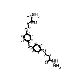 NNC(=O)CCOc1ccc(Sc2ccc(OCCC(=O)NN)cc2)cc1